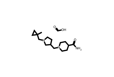 CC1(CN2CCC(CN3CCC(C(N)=O)CC3)C2)CC1.O=CO